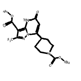 CCCOC(=O)c1c(C(F)(F)F)nn2c(C3CCN(C(=O)OC(C)(C)C)CC3)cc(=O)[nH]c12